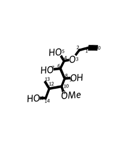 C#CCOC(O)C(O)C(O)C(OC)C(C)CO